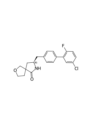 O=C1N[C@H](Cc2ccc(-c3cc(Cl)ccc3F)cc2)CC12CCOC2